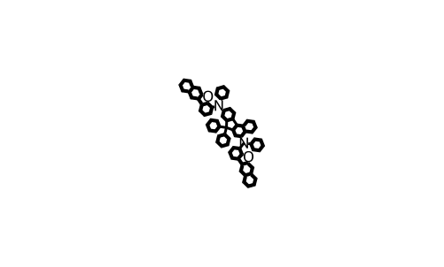 c1ccc(N(c2ccc3c(c2)C(c2ccccc2)(c2ccccc2)c2cc(N(c4ccccc4)c4cccc5c4oc4cc6ccccc6cc45)c4ccccc4c2-3)c2cccc3c2oc2cc4ccccc4cc23)cc1